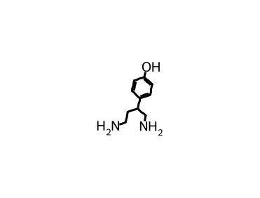 NCCC(CN)c1ccc(O)cc1